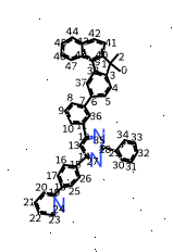 CC1(C)c2ccc(-c3cccc(-c4cc(-c5ccc(-c6ccccn6)cc5)nc(-c5ccccc5)n4)c3)cc2-c2c1ccc1ccccc21